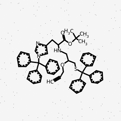 C#CCOC(CNC(Cc1cn(C(c2ccccc2)(c2ccccc2)c2ccccc2)cn1)C(=O)OC(C)(C)C)CSC(c1ccccc1)(c1ccccc1)c1ccccc1